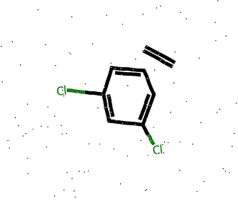 C=C.Clc1cccc(Cl)c1